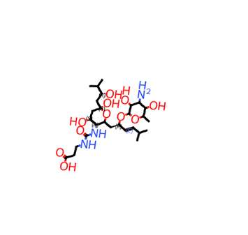 CC(C)/C=C/[C@@H](CC1O[C@](O)(C[C@@H](O)C(C)C)C[C@H](O)[C@H]1NC(=O)NCCC(=O)O)OC1OC(C)C(O)C(N)C1O